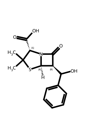 CC1(C)S[C@@H]2[C@H](C(O)c3ccccc3)C(=O)N2[C@H]1C(=O)O